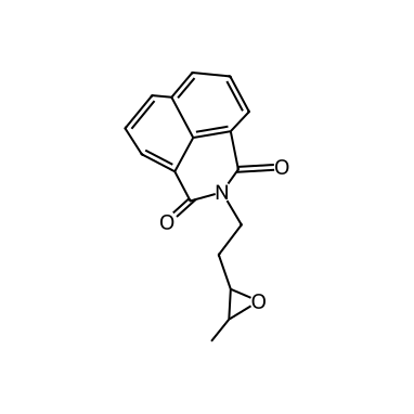 CC1OC1CCN1C(=O)c2cccc3cccc(c23)C1=O